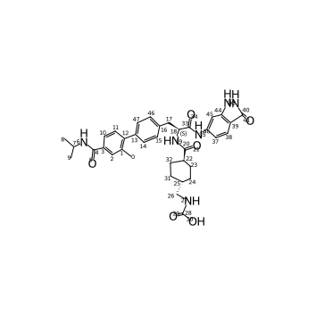 Cc1cc(C(=O)NC(C)C)ccc1-c1ccc(C[C@H](NC(=O)[C@H]2CC[C@H](CNC(=O)O)CC2)C(=O)Nc2ccc3c(=O)[nH][nH]c3c2)cc1